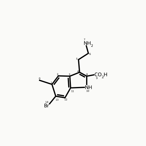 Cc1cc2c(CCN)c(C(=O)O)[nH]c2cc1Br